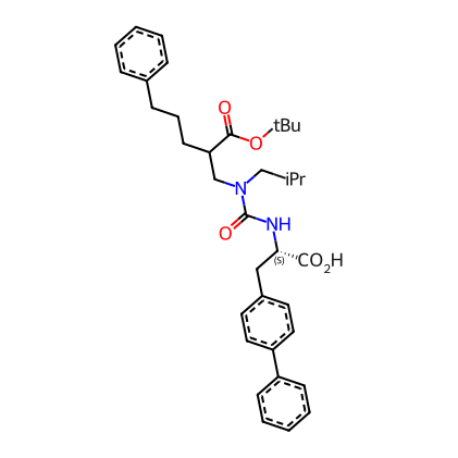 CC(C)CN(CC(CCCc1ccccc1)C(=O)OC(C)(C)C)C(=O)N[C@@H](Cc1ccc(-c2ccccc2)cc1)C(=O)O